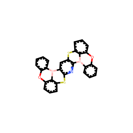 c1ccc2c(c1)Oc1cccc3c1B2c1cc2c(nc1S3)B1c3ccccc3Oc3cccc(c31)S2